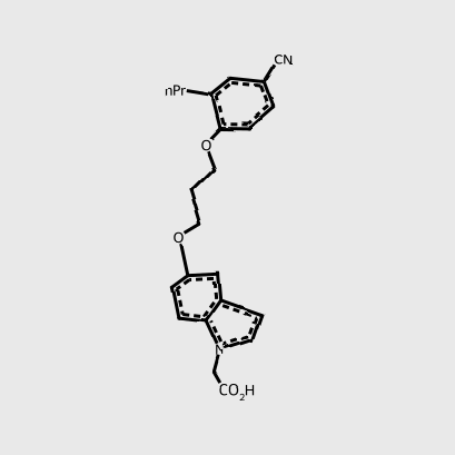 CCCc1cc(C#N)ccc1OCCCOc1ccc2c(ccn2CC(=O)O)c1